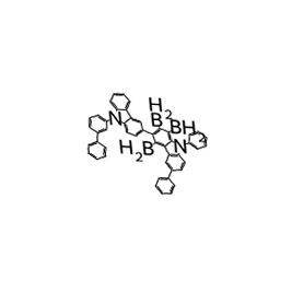 Bc1c(-c2ccc3c(c2)c2ccccc2n3-c2cccc(-c3ccccc3)c2)c(B)c2c3cc(-c4ccccc4)ccc3n(-c3ccccc3)c2c1B